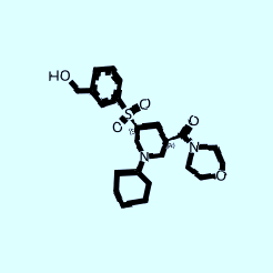 O=C([C@@H]1C[C@H](S(=O)(=O)c2cccc(CO)c2)CN(C2CCCCC2)C1)N1CCOCC1